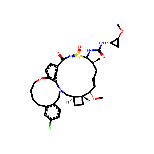 CO[C@H]1/C=C/C[C@H](C)C(NC(=O)N[C@H]2C[C@@H]2OC)/[SH](=O)=N\C(=O)c2ccc3c(c2)N(Cc2ccc(Cl)cc2CCCCO3)C[C@@H]2CC[C@H]21